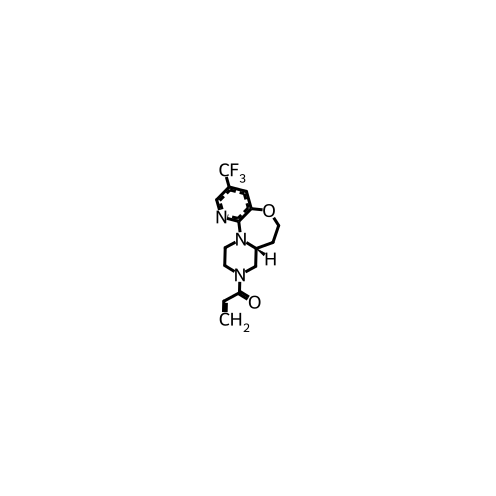 C=CC(=O)N1CCN2c3ncc(C(F)(F)F)cc3OCC[C@@H]2C1